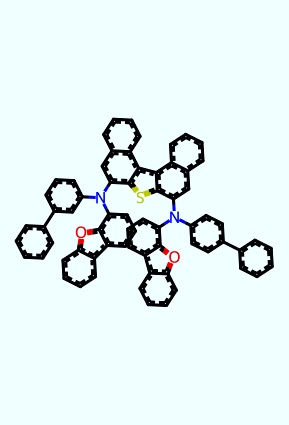 c1ccc(-c2ccc(N(c3cccc4c3oc3ccccc34)c3cc4ccccc4c4c3sc3c(N(c5cccc(-c6ccccc6)c5)c5cccc6c5oc5ccccc56)cc5ccccc5c34)cc2)cc1